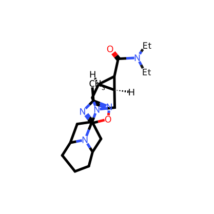 CCN(CC)C(=O)C1[C@H]2CN(C3CC4CCCC(C3)N4c3nc(C)no3)C[C@@H]12